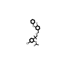 CC(C)(COCc1ccc(F)c(Oc2ccccc2)c1)c1ccc(Cl)cc1OC(F)F